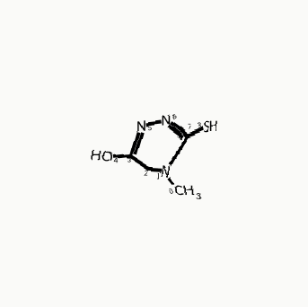 CN1CC(O)=NN=C1S